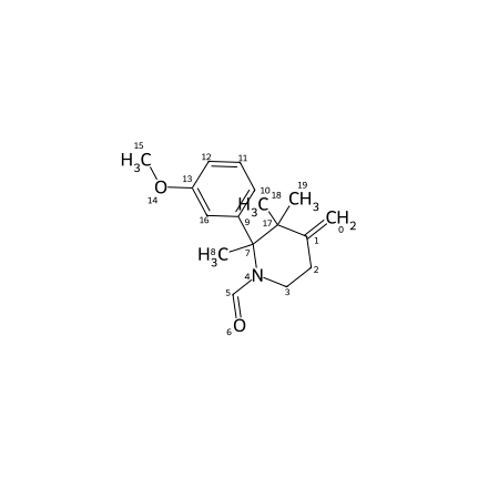 C=C1CCN(C=O)C(C)(c2cccc(OC)c2)C1(C)C